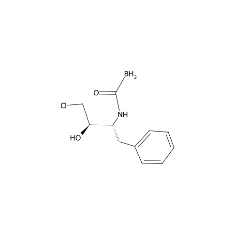 BC(=O)N[C@H](Cc1ccccc1)[C@@H](O)CCl